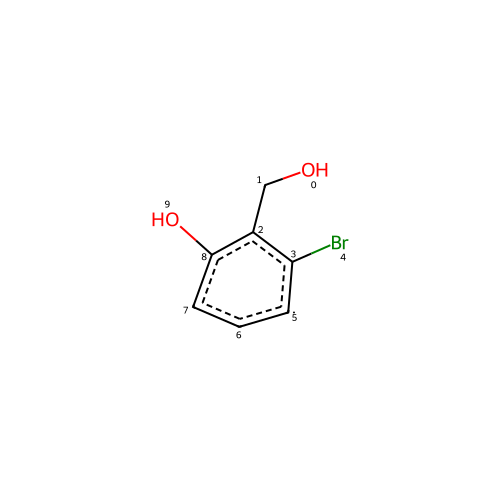 OCc1c(Br)[c]ccc1O